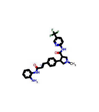 CN1CC(C(=O)Nc2ccc(C(F)(F)F)cn2)C(c2ccc(/C=C/C(=O)Nc3ccccc3N)cc2)C1